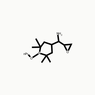 CCCON1C(C)(C)CC(C(N)C2CO2)CC1(C)C